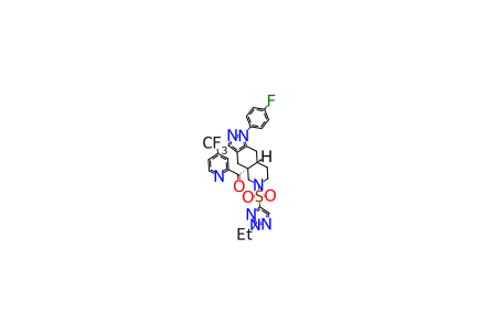 CCn1ncc(S(=O)(=O)N2CC[C@H]3Cc4c(cnn4-c4ccc(F)cc4)C[C@]3(C(=O)c3cc(C(F)(F)F)ccn3)C2)n1